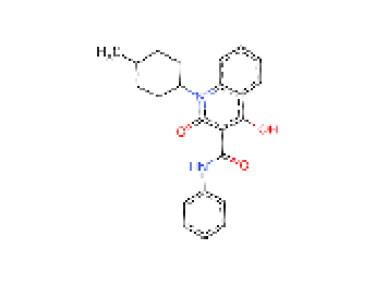 CC1CCC(n2c(=O)c(C(=O)Nc3ccccc3)c(O)c3ccccc32)CC1